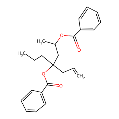 C=CCC(CCC)(CC(C)OC(=O)c1ccccc1)OC(=O)c1ccccc1